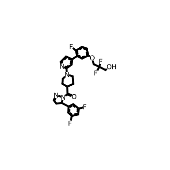 O=C(C1CCN(c2cc(-c3cc(OCC(F)(F)CO)ccc3F)ccn2)CC1)N1N=CCC1c1cc(F)cc(F)c1